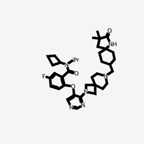 CC(C)N(C(=O)c1cc(F)ccc1Oc1cncnc1N1CC2(CCN(CC3CCC4(CC3)CC(C)(C)C(=O)N4)CC2)C1)C1CCC1